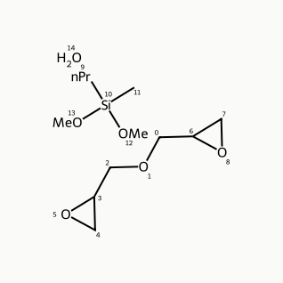 C(OCC1CO1)C1CO1.CCC[Si](C)(OC)OC.O